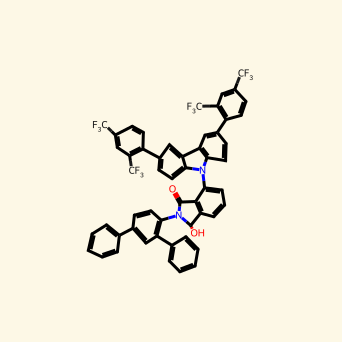 O=C1c2c(cccc2-n2c3ccc(-c4ccc(C(F)(F)F)cc4C(F)(F)F)cc3c3cc(-c4ccc(C(F)(F)F)cc4C(F)(F)F)ccc32)C(O)N1c1ccc(-c2ccccc2)cc1-c1ccccc1